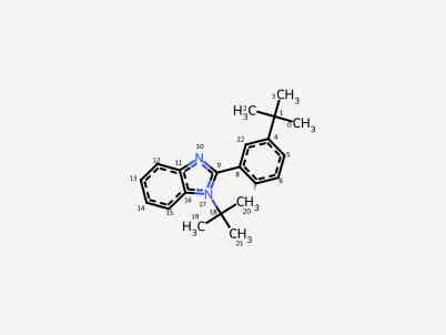 CC(C)(C)c1cccc(-c2nc3ccccc3n2C(C)(C)C)c1